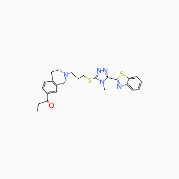 CCC(=O)c1ccc2c(c1)CN(CCCSc1nnc(-c3nc4ccccc4s3)n1C)CC2